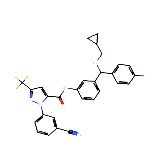 N#Cc1cccc(-n2nc(C(F)(F)F)cc2C(=O)Nc2cccc(C(NCC3CC3)c3ccc(Cl)cc3)c2)c1